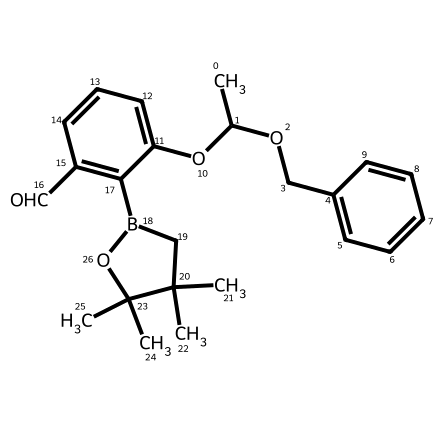 CC(OCc1ccccc1)Oc1cccc(C=O)c1B1CC(C)(C)C(C)(C)O1